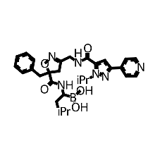 CC(C)CC(NC(=O)C1(Cc2ccccc2)CC(CNC(=O)c2cc(-c3ccncc3)nn2C(C)C)=NO1)B(O)O